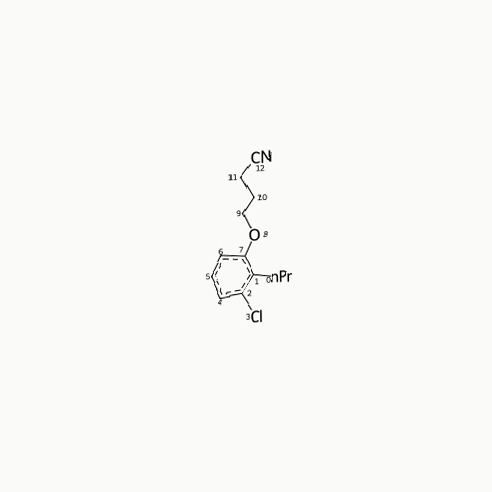 CCCc1c(Cl)cccc1OCCCC#N